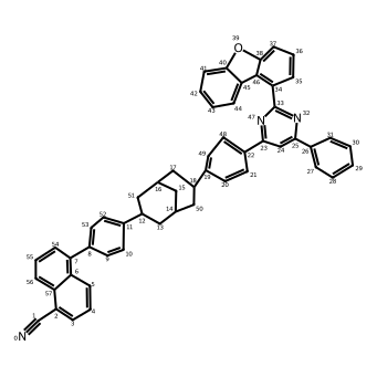 N#Cc1cccc2c(-c3ccc(C4CC5CC(CC(c6ccc(-c7cc(-c8ccccc8)nc(-c8cccc9oc%10ccccc%10c89)n7)cc6)C5)C4)cc3)cccc12